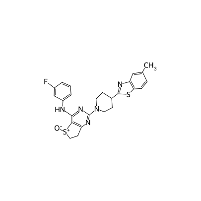 Cc1ccc2sc(C3CCN(c4nc5c(c(Nc6cccc(F)c6)n4)[S+]([O-])CC5)CC3)nc2c1